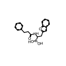 O=C(CCc1ccccc1)NC(Cc1cc2ccccc2o1)B(O)O